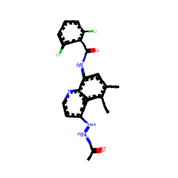 CC(=O)NNc1ccnc2c(NC(=O)c3c(Cl)cccc3Cl)cc(C)c(C)c12